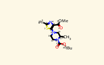 COC(=O)c1nc(C(C)C)sc1N1CCN(C(=O)OC(C)(C)C)C(C)C1